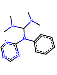 CN(C)C(N(C)C)N(c1ccccc1)c1ncncn1